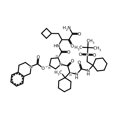 CC1([C@H](NC(=O)NC2(CS(=O)(=O)C(C)(C)C)CCCCC2)C(=O)N2C[C@H](OC(=O)N3CCc4ccccc4C3)C[C@H]2C(=O)NC(CC2CCC2)C(=O)C(N)=O)CCCCC1